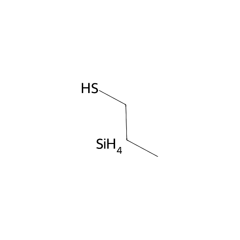 CCCS.[SiH4]